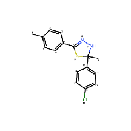 Cc1ccc(C2=NNC(C)(c3ccc(Cl)cc3)S2)cc1